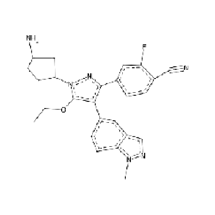 CCOc1c(-c2ccc3c(cnn3C)c2)c(-c2ccc(C#N)c(F)c2)nn1C1CCC(N)C1